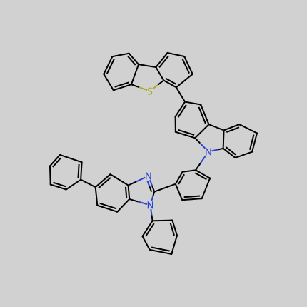 c1ccc(-c2ccc3c(c2)nc(-c2cccc(-n4c5ccccc5c5cc(-c6cccc7c6sc6ccccc67)ccc54)c2)n3-c2ccccc2)cc1